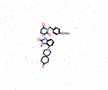 COc1ccc(CN2C(=O)CC[C@@H](n3c(=O)n(C)c4c(N5CCC6(CCC(=O)CC6)CC5)cccc43)C2=O)cc1